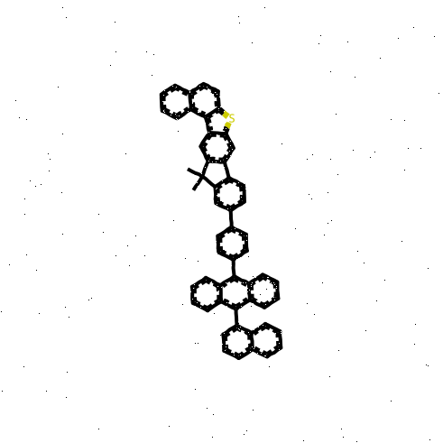 CC1(C)c2cc(-c3ccc(-c4c5ccccc5c(-c5cccc6ccccc56)c5ccccc45)cc3)ccc2-c2cc3sc4ccc5ccccc5c4c3cc21